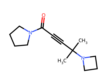 CC(C)(C#CC(=O)N1CCCC1)N1CCC1